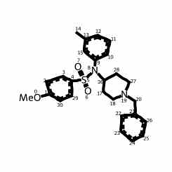 COc1ccc(S(=O)(=O)N(c2cccc(C)c2)C2CCN(Cc3ccccc3)CC2)cc1